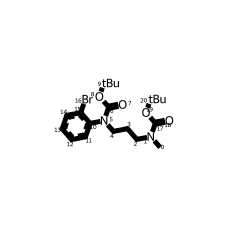 CN(CCCN(C(=O)OC(C)(C)C)c1ccccc1Br)C(=O)OC(C)(C)C